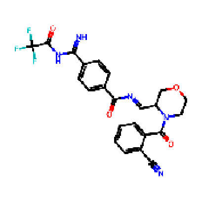 N#Cc1ccccc1C(=O)N1CCOCC1/C=N/C(=O)c1ccc(C(=N)NC(=O)C(F)(F)F)cc1